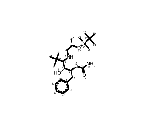 C[C@H](CNC([C@@H](O)[C@H](Cc1ccccc1)OC(N)=O)C(C)(C)C)O[Si](C)(C)C(C)(C)C